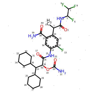 CC(C(=O)NC(F)C(F)F)c1cc(F)c(NC(=O)[C@@H](OC(N)=O)C(C2CCCCC2)C2CCCCC2)cc1C(N)=O